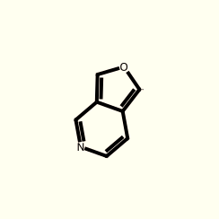 [c]1occ2cnccc12